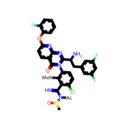 CNc1c(-n2c(C(N)Cc3cc(F)cc(F)c3)nc3nc(Oc4ccccc4F)ccc3c2=O)ccc(Cl)c1C(=N)N(C(C)=O)[S+](C)[O-]